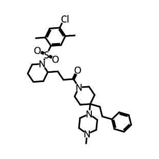 Cc1cc(S(=O)(=O)N2CCCCC2CCC(=O)N2CCC(CCc3ccccc3)(N3CCN(C)CC3)CC2)c(C)cc1Cl